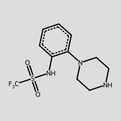 O=S(=O)(Nc1ccccc1N1CCNCC1)C(F)(F)F